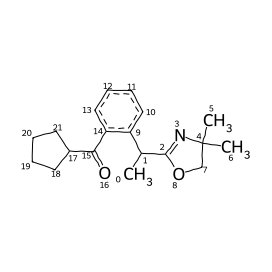 CC(C1=NC(C)(C)CO1)c1ccccc1C(=O)C1CCCC1